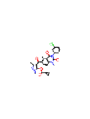 Cc1nn(C)c(OC(=O)C2CC2)c1C(=O)c1ccc2c(c1C)c(=O)n(-c1cccc(Cl)c1)c(=O)n2C